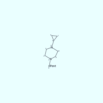 CCCCCN1CCN(C2CC2)CC1